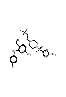 Cc1nc(S(=O)(=O)N2CCN(CCC(F)(F)F)[C@@H](c3cc(C=N)c(Nc4ccc(F)cc4)cc3C)C2)cs1